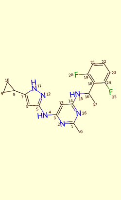 Cc1nc(Nc2cc(C3CC3)[nH]n2)cc(NC(C)c2c(F)cccc2F)n1